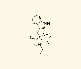 CCCC(CC)C(N)(Cc1c[nH]c2ccccc12)C(=O)O